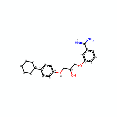 N=C(N)c1cccc(OCC(O)COc2ccc(C3CCCCC3)cc2)c1